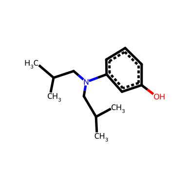 CC(C)CN(CC(C)C)c1cccc(O)c1